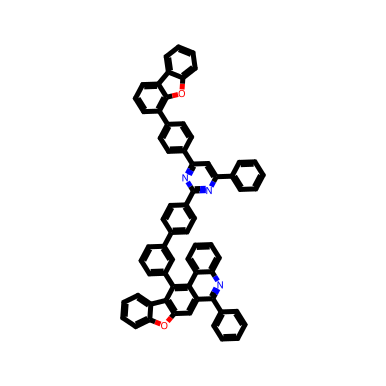 c1ccc(-c2cc(-c3ccc(-c4cccc5c4oc4ccccc45)cc3)nc(-c3ccc(-c4cccc(-c5c6c(cc7c(-c8ccccc8)nc8ccccc8c57)oc5ccccc56)c4)cc3)n2)cc1